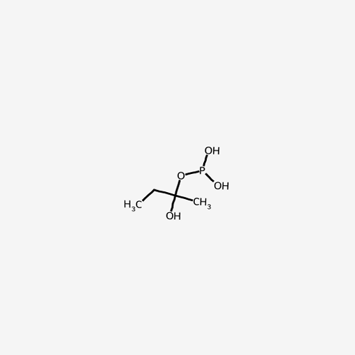 CCC(C)(O)OP(O)O